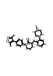 Cc1noc(C)c1-c1ccc(N2CCCC(Cc3ncccc3N3CCN(C)CC3)C2=O)cc1